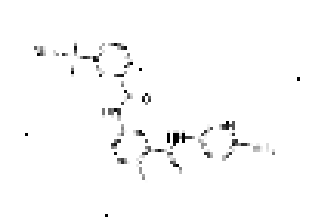 Cc1ccc(NC(=O)c2cccc(C(C)(C)C#N)c2)cc1C(=O)Nc1ccc(N)nc1